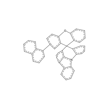 c1ccc2c(c1)Oc1ccc(-c3cccc4ccccc34)cc1C21c2ccccc2-n2c3ccccc3c3cccc1c32